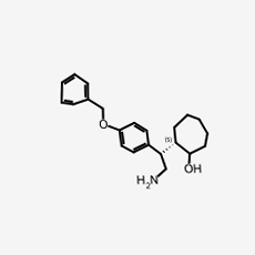 NCC(c1ccc(OCc2ccccc2)cc1)[C@@H]1CCCCCC1O